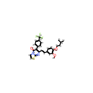 COc1cc(C=Cc2nc3sccn3c(=O)c2-c2ccc(C(F)(F)F)cc2)ccc1OCCC(C)C